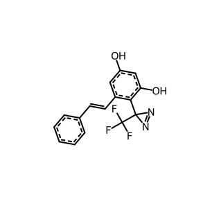 Oc1cc(O)c(C2(C(F)(F)F)N=N2)c(C=Cc2ccccc2)c1